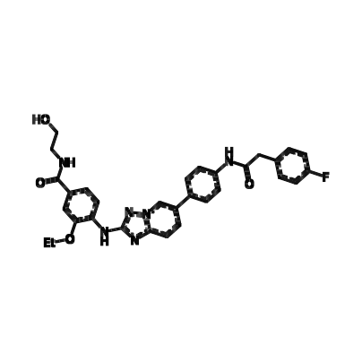 CCOc1cc(C(=O)NCCO)ccc1Nc1nc2ccc(-c3ccc(NC(=O)Cc4ccc(F)cc4)cc3)cn2n1